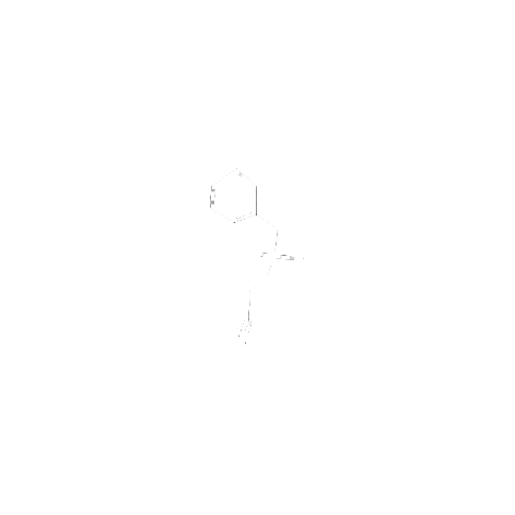 N#CCOS(=O)(=O)Cc1ccccc1